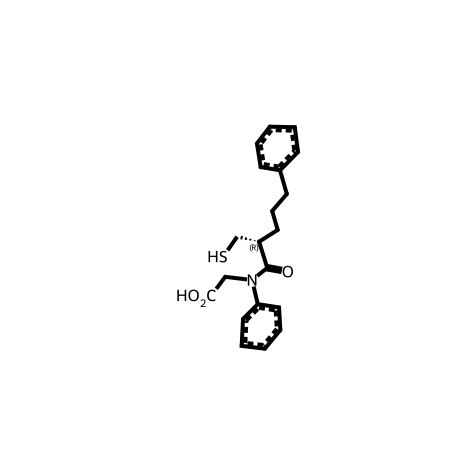 O=C(O)CN(C(=O)[C@H](CS)CCCc1ccccc1)c1ccccc1